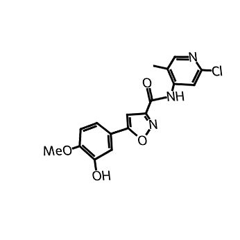 COc1ccc(-c2cc(C(=O)Nc3cc(Cl)ncc3C)no2)cc1O